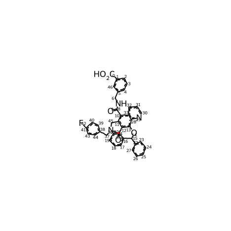 O=C(O)c1cccc(CNC(=O)c2c3c(c(OC(c4ccccc4)c4ccccc4)c4ncccc24)C(=O)N(Cc2ccc(F)cc2)C3)c1